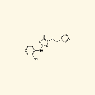 CC(C)c1ccccc1Nc1n[nH]c(SCc2ccsc2)n1